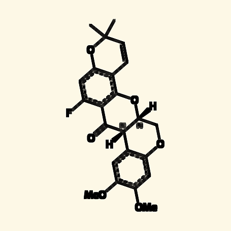 COc1cc2c(cc1OC)[C@@H]1C(=O)c3c(F)cc4c(c3O[C@@H]1CO2)C=CC(C)(C)O4